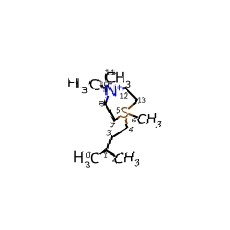 CC(C)CCS1(C)CC[N+](C)(C)CC1